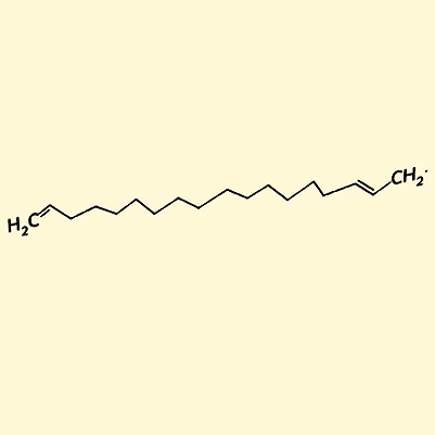 [CH2]C=CCCCCCCCCCCCCCC=C